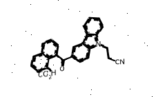 N#CCCn1c2ccccc2c2cc(C(=O)c3cccc4cccc(C(=O)O)c34)ccc21